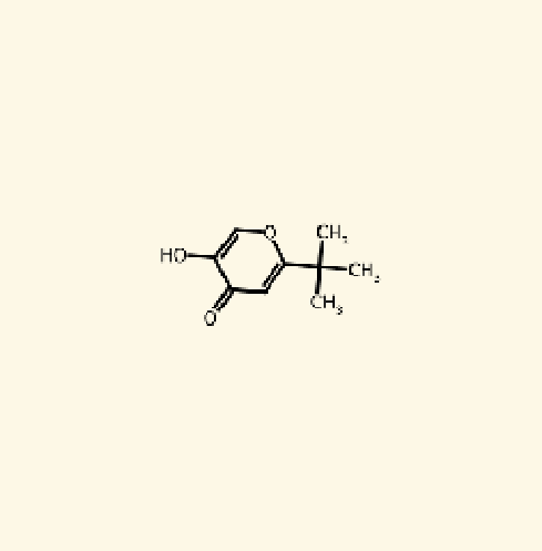 CC(C)(C)c1cc(=O)c(O)co1